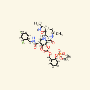 CC1=NO[C@@]2(CC[C@H](C)N3C[C@H]2n2cc(C(=O)NCc4ccc(F)cc4F)c(=O)c(OC(=O)OCc4ccccc4OP(=O)(OC(C)(C)C)OC(C)(C)C)c2C3=O)C1